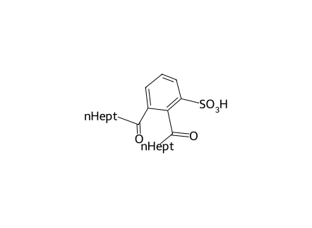 CCCCCCCC(=O)c1cccc(S(=O)(=O)O)c1C(=O)CCCCCCC